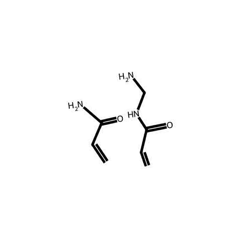 C=CC(=O)NCN.C=CC(N)=O